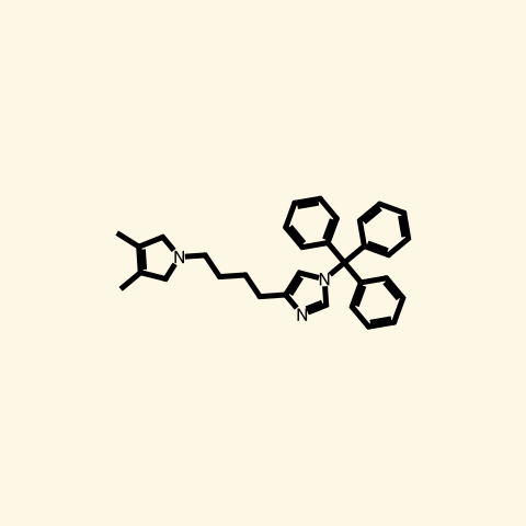 CC1=C(C)CN(CCCCc2cn(C(c3ccccc3)(c3ccccc3)c3ccccc3)cn2)C1